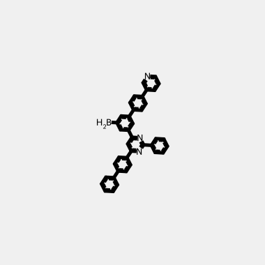 Bc1cc(-c2ccc(-c3cccnc3)cc2)cc(-c2cc(-c3ccc(-c4ccccc4)cc3)nc(-c3ccccc3)n2)c1